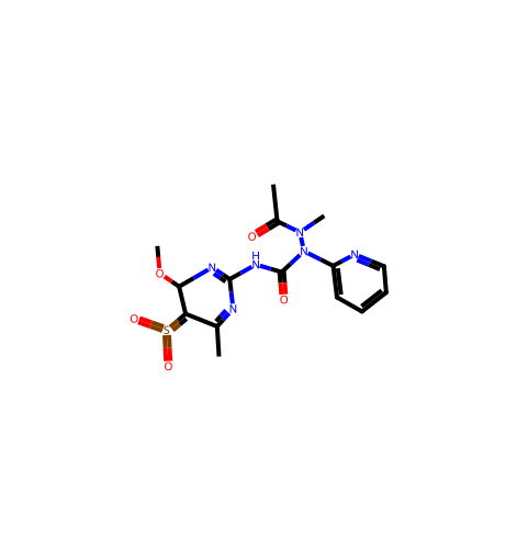 COC1N=C(NC(=O)N(c2ccccn2)N(C)C(C)=O)N=C(C)C1=S(=O)=O